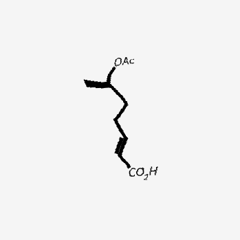 C=C(CCC=CC(=O)O)OC(C)=O